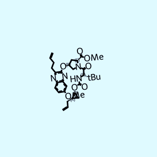 C=CCCc1nc2ccc(OC)cc2nc1O[C@@H]1C[C@@H](C(=O)OC)N(C(=O)[C@@H](NC(=O)O[C@@H]2C[C@H]2CC=C)C(C)(C)C)C1